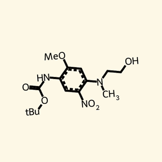 COc1cc(N(C)CCO)c([N+](=O)[O-])cc1NC(=O)OC(C)(C)C